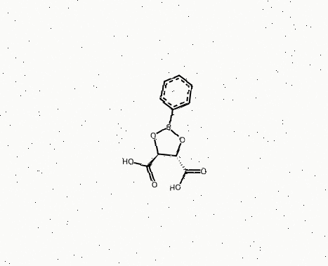 O=C(O)[C@H]1OB(c2ccccc2)O[C@@H]1C(=O)O